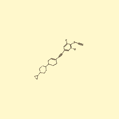 N#CSc1c(F)cc(C#CC2=CCC(C3CCC(C4CC4)CC3)CC2)cc1F